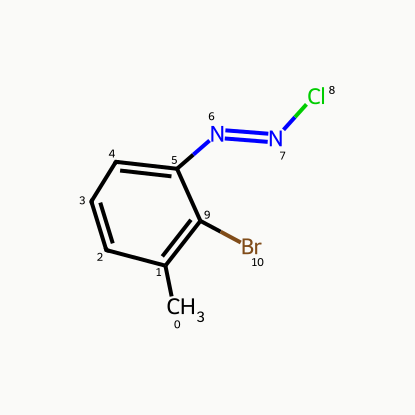 Cc1cccc(N=NCl)c1Br